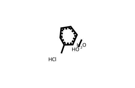 CO.Cc1ccccc1.Cl.O